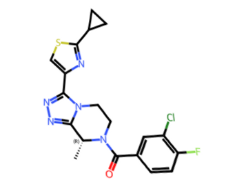 C[C@@H]1c2nnc(-c3csc(C4CC4)n3)n2CCN1C(=O)c1ccc(F)c(Cl)c1